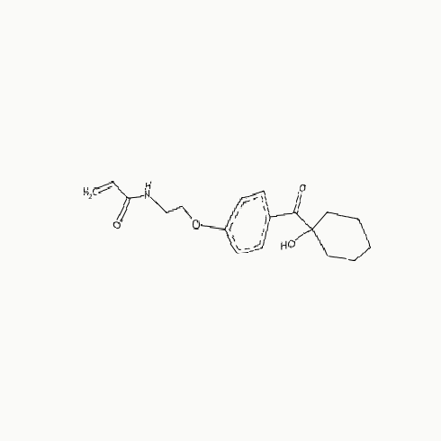 C=CC(=O)NCCOc1ccc(C(=O)C2(O)CCCCC2)cc1